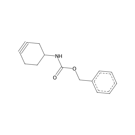 O=C(NC1CC#CCC1)OCc1ccccc1